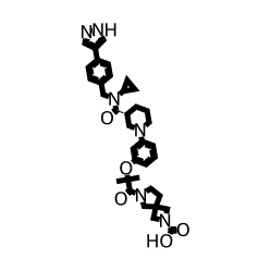 CC(C)(Oc1cccc(N2CCC[C@@H](C(=O)N(Cc3ccc(-c4cn[nH]c4)cc3)C3CC3)C2)c1)C(=O)N1CCC2(CN(C(=O)O)C2)C1